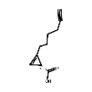 C#CCCCCC1=C[C@H]1C(=O)O